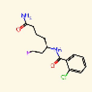 NC(=O)CCC[C@H](CCI)NC(=O)c1ccccc1Cl